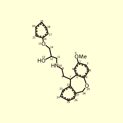 COc1ccc2c(c1)C(CCNCC(O)COc1ccccc1)c1ccccc1CO2